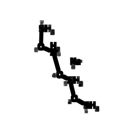 [Na].[SiH3]O[SiH2]O[SiH2]O[SiH3]